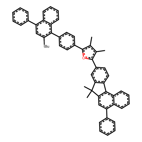 Cc1c(-c2ccc(-c3c(C(C)(C)C)cc(-c4ccccc4)c4ccccc34)cc2)oc(-c2ccc3c(c2)C(C)(C)c2cc(-c4ccccc4)c4ccccc4c2-3)c1C